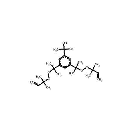 C=CC(C)(C)OOC(C)(C)c1cc(C(C)(C)O)cc(C(C)(C)OOC(C)(C)C=C)c1